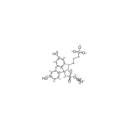 O=S(=O)([O-])CCCCCC(CS(=O)(=O)[O-])(c1ccc(O)cc1)c1ccc(O)cc1.[Na+].[Na+]